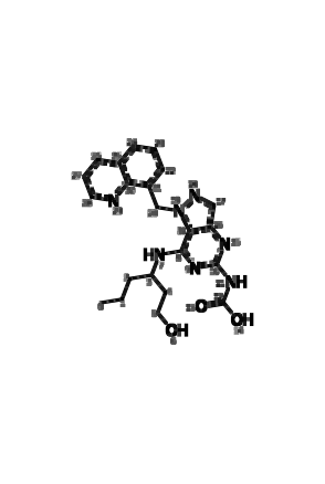 CCCC(CCO)Nc1nc(NC(=O)O)nc2cnn(Cc3cccc4cccnc34)c12